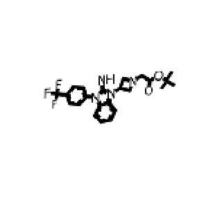 CC(C)(C)OC(=O)CN1CC(n2c(=N)n(-c3ccc(C(F)(F)F)cc3)c3ccccc32)C1